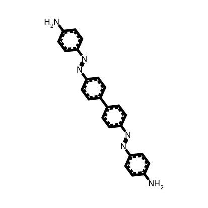 Nc1ccc(N=Nc2ccc(-c3ccc(N=Nc4ccc(N)cc4)cc3)cc2)cc1